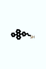 SCCCc1ccc(-c2c3ccccc3c(-c3ccccc3)c3ccccc23)cc1